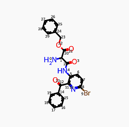 NC(C(=O)Nc1ccc(Br)nc1C(=O)c1ccccc1)C(=O)OCc1ccccc1